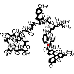 CC(C)CC(NC(=O)C(C)NC(=O)C(NC(=O)C(NC(=O)C(C)N)C(C)O)C(C)C)C(=O)N1CCCC1C(=O)NCC(=O)NCC(=O)NC(Cc1ccc(O)cc1)C(=O)NC(C(=O)NC(CCCNC(=N)N)C(=O)NC(CCCCNC(=O)c1ccc(-c2c3ccc(=O)cc-3oc3cc(O)ccc23)c(C(=O)O)c1)C(=O)NC(C)C(N)=O)C(C)C